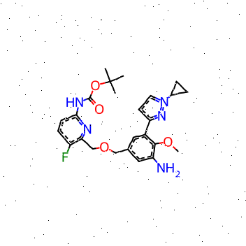 COc1c(N)cc(COCc2nc(NC(=O)OC(C)(C)C)ccc2F)cc1-c1ccn(C2CC2)n1